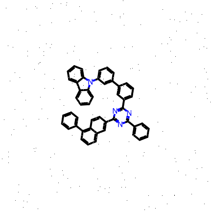 c1ccc(-c2nc(-c3cccc(-c4cccc(-n5c6ccccc6c6ccccc65)c4)c3)nc(-c3ccc4c(-c5ccccc5)cccc4c3)n2)cc1